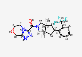 O=C(c1nnc2n1CCOC2)N1C[C@H]2C[C@@H](c3ccccc3C(F)(F)F)C[C@H]2C1